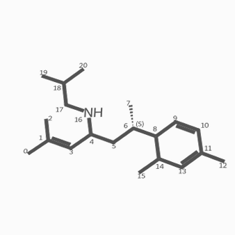 CC(C)=CC(C[C@H](C)C1C=CC(C)=CC1C)NCC(C)C